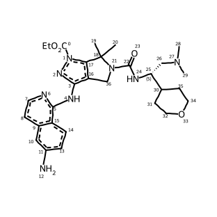 CCOC(=O)n1nc(Nc2nccc3cc(N)ccc23)c2c1C(C)(C)N(C(=O)N[C@H](CN(C)C)C1CCOCC1)C2